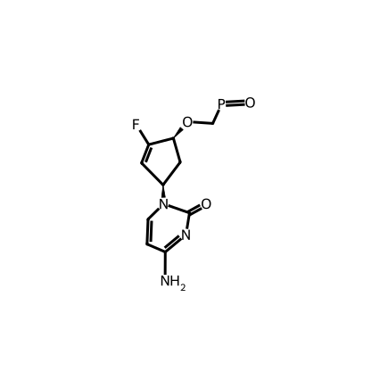 Nc1ccn([C@H]2C=C(F)[C@@H](OCP=O)C2)c(=O)n1